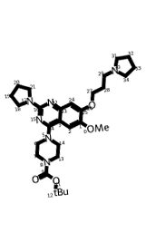 COc1cc2c(N3CCN(C(=O)OC(C)(C)C)CC3)nc(N3CCCC3)nc2cc1OCCCN1CCCC1